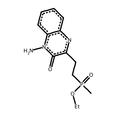 CCOP(C)(=O)CCc1nc2ccccc2n(N)c1=O